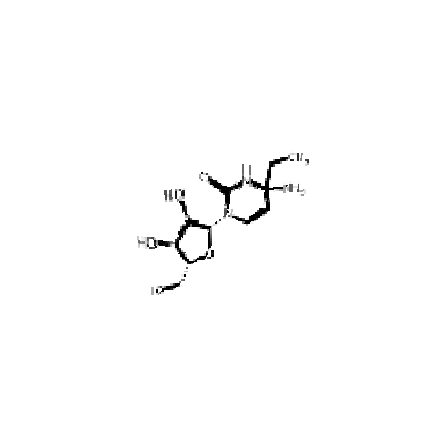 CCC1(N)C=CN([C@@H]2O[C@H](CO)[C@@H](O)[C@H]2O)C(=O)N1